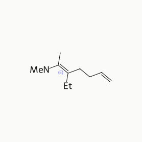 C=CCC/C(CC)=C(\C)NC